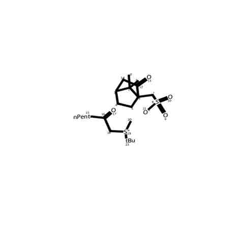 CC1(C)C2CCC1(CS(=O)(=O)[O-])C(=O)C2.CCCCCC(=O)C[S+](C)C(C)(C)C